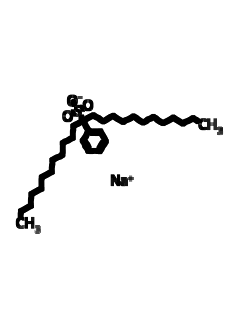 CCCCCCCCCCCCC(CCCCCCCCCCCC)(c1ccccc1)S(=O)(=O)[O-].[Na+]